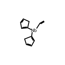 C=C[CH2][Nb]([C]1=CC=CC1)[C]1=CC=CC1